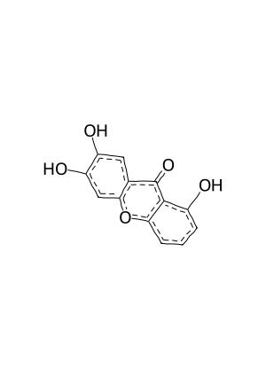 O=c1c2cc(O)c(O)cc2oc2cccc(O)c12